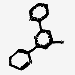 Brc1cc(C2=CCCC=N2)nc(-c2ccccn2)c1